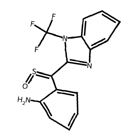 Nc1ccccc1C(=S=O)c1nc2ccccc2n1C(F)(F)F